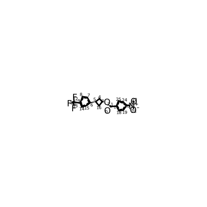 O=C(O[C@H]1C[C@H](c2ccc(C(F)(F)F)cc2)C1)c1ccc([N+](=O)[O-])cc1